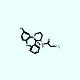 NCC(=O)N[C@H]1CCCN2c3cc(Cl)ccc3Oc3ccccc3[C@@H]12